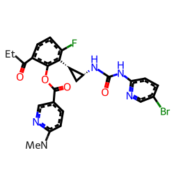 CCC(=O)c1ccc(F)c([C@H]2C[C@H]2NC(=O)Nc2ccc(Br)cn2)c1OC(=O)c1ccc(NC)nc1